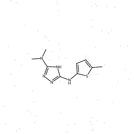 Cc1ccc(Nc2nnc(N(C)C)[nH]2)s1